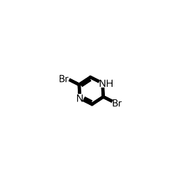 BrC1=CNC(Br)C=N1